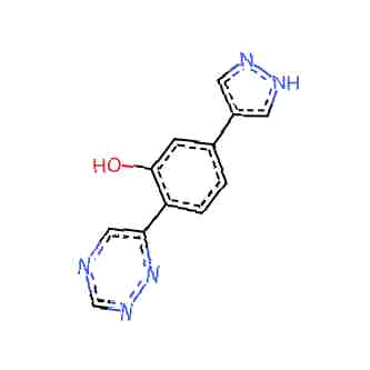 Oc1cc(-c2cn[nH]c2)ccc1-c1cncnn1